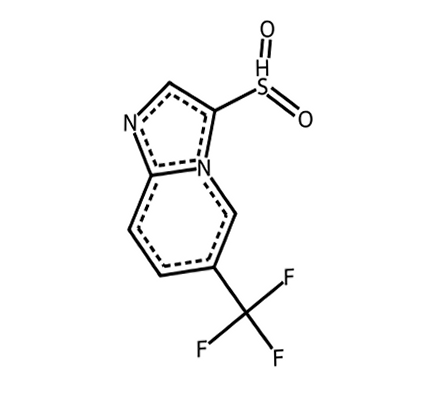 O=[SH](=O)c1cnc2ccc(C(F)(F)F)cn12